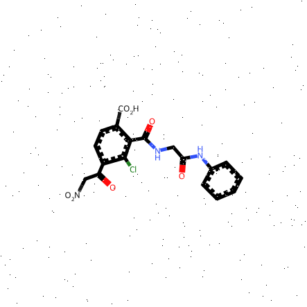 O=C(CNC(=O)c1c(C(=O)O)ccc(C(=O)C[N+](=O)[O-])c1Cl)Nc1ccccc1